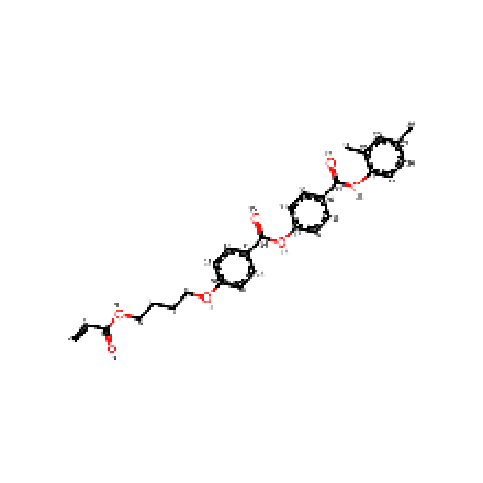 C=CC(=O)OCCCCOc1ccc(C(=O)Oc2ccc(C(=O)Oc3ccc(C)cc3C)cc2)cc1